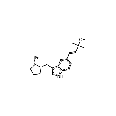 CC(C)N1CCC[C@@H]1Cc1c[nH]c2ccc(C=CC(C)(C)O)cc12